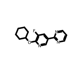 Fc1cc(-c2ncccn2)cnc1OC1CCCCC1